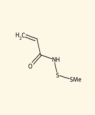 C=CC(=O)NSSC